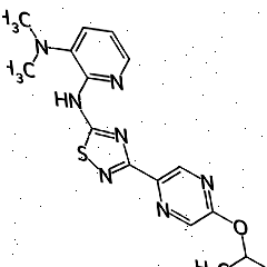 CC(C)Oc1cnc(-c2nsc(Nc3ncccc3N(C)C)n2)cn1